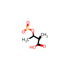 C=C(C(=O)O)C(C)OP(=O)=O